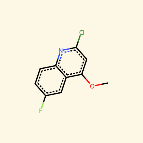 COc1cc(Cl)nc2ccc(F)cc12